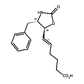 O=C(O)CCC/C=C/[C@@H]1OC(=O)N[C@H]1Cc1ccccc1